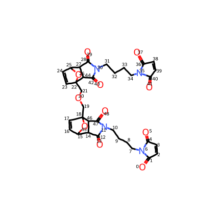 O=C1C=CC(=O)N1CCCCN1C(=O)C2C3C=CC(COCC45C=CC(O4)C4C(=O)N(CCCCN6C(=O)C=CC6=O)C(=O)C45)(O3)C2C1=O